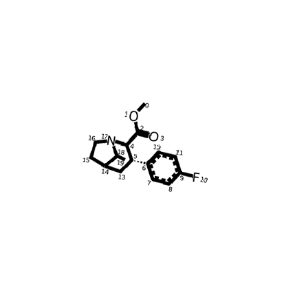 COC(=O)C1[C@H](c2ccc(F)cc2)CC2CCN1C2C